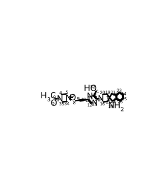 CC(=O)N1CCN(OCC#Cc2cnc(N3CCC4(CC3)Cc3ccccc3[C@H]4N)c(CO)n2)CC1